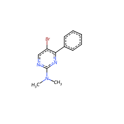 CN(C)c1ncc(Br)c(-c2ccccc2)n1